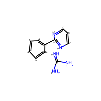 N=C(N)N.c1ccc(-c2ncccn2)cc1